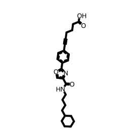 O=C(O)CCCC#Cc1ccc(-c2nc(C(=O)NCCCCC3CCCCC3)co2)cc1